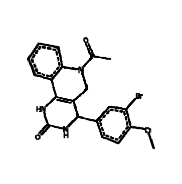 COc1ccc(C2NC(=O)NC3=C2CN(C(C)=O)c2ccccc23)cc1Br